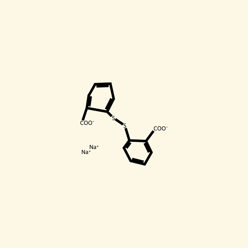 O=C([O-])c1ccccc1SSc1ccccc1C(=O)[O-].[Na+].[Na+]